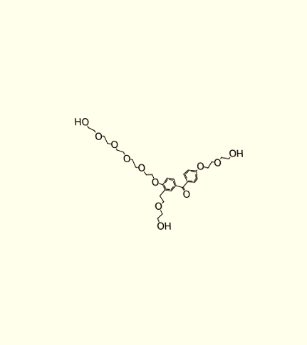 O=C(c1ccc(OCCOCCO)cc1)c1ccc(OCCOCCOCCOCCOCCO)c(CCOCCO)c1